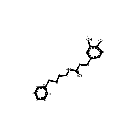 O=C(/C=C/c1ccc(O)c(O)c1)NCCCCc1ccccc1